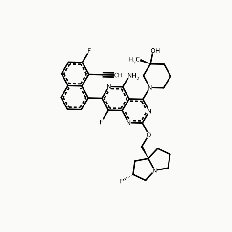 C#Cc1c(F)ccc2cccc(-c3nc(N)c4c(N5CCC[C@@](C)(O)C5)nc(OC[C@@]56CCCN5C[C@H](F)C6)nc4c3F)c12